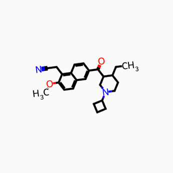 CCC1CCN(C2CCC2)CC1C(=O)c1ccc2c(CC#N)c(OC)ccc2c1